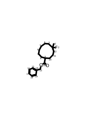 CC1(F)CCCCCCC(C(=O)OCc2ccccc2)CCC1